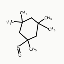 CC1(C)CC(C)(C)CC(C)(N=O)C1